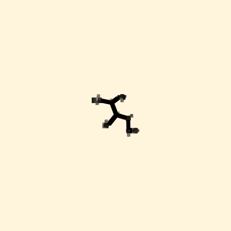 CCCC(C)C(O[C]=O)C(C)C